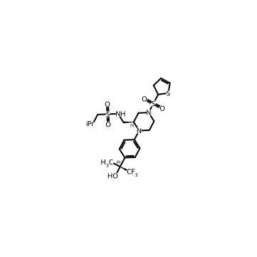 CC(C)CS(=O)(=O)NC[C@H]1CN(S(=O)(=O)C2CC=CS2)CCN1c1ccc([C@@](C)(O)C(F)(F)F)cc1